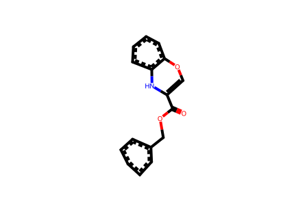 O=C(OCc1ccccc1)C1=COc2ccccc2N1